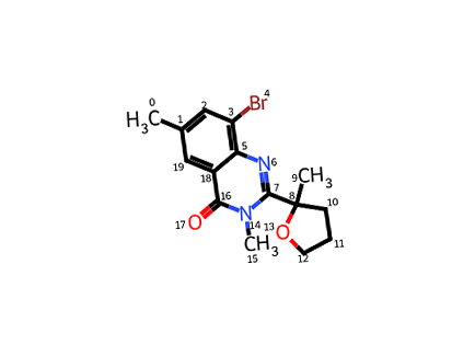 Cc1cc(Br)c2nc(C3(C)CCCO3)n(C)c(=O)c2c1